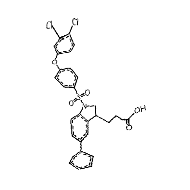 O=C(O)CCC1CN(S(=O)(=O)c2ccc(Oc3ccc(Cl)c(Cl)c3)cc2)c2ccc(-c3ccccc3)cc21